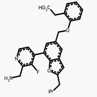 CC(C)Cc1cc2cc(COc3ccccc3CC(=O)O)cc(-c3ccnc(CN)c3F)c2o1